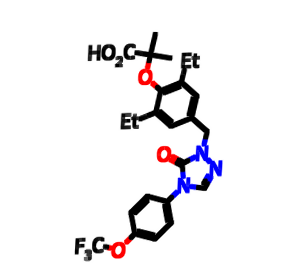 CCc1cc(Cn2ncn(-c3ccc(OC(F)(F)F)cc3)c2=O)cc(CC)c1OC(C)(C)C(=O)O